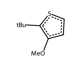 COc1ccsc1C(C)(C)C